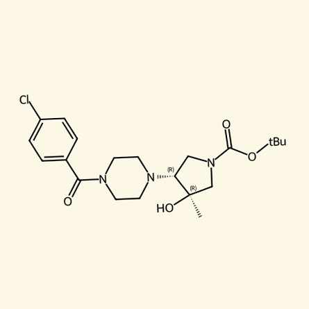 CC(C)(C)OC(=O)N1C[C@@H](N2CCN(C(=O)c3ccc(Cl)cc3)CC2)[C@](C)(O)C1